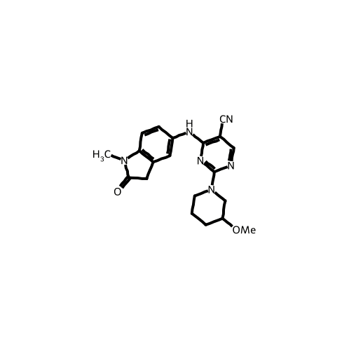 COC1CCCN(c2ncc(C#N)c(Nc3ccc4c(c3)CC(=O)N4C)n2)C1